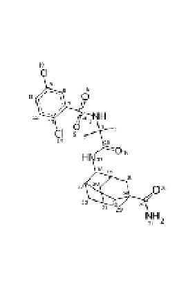 CC(C)(NS(=O)(=O)c1cc(Cl)ccc1Cl)C(=O)NC1C2CC3CC1CC(C(N)=O)(C3)C2